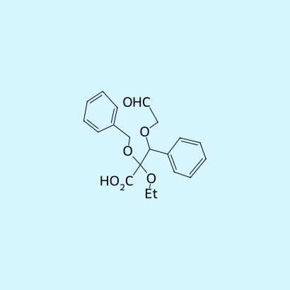 CCOC(OCc1ccccc1)(C(=O)O)C(OCC=O)c1ccccc1